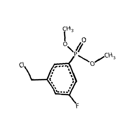 COP(=O)(OC)c1cc(F)cc(CCl)c1